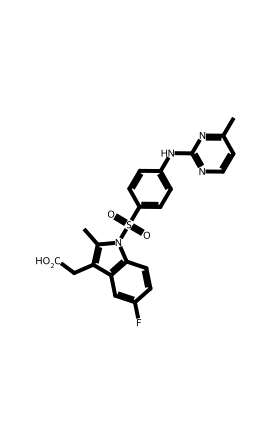 Cc1ccnc(Nc2ccc(S(=O)(=O)n3c(C)c(CC(=O)O)c4cc(F)ccc43)cc2)n1